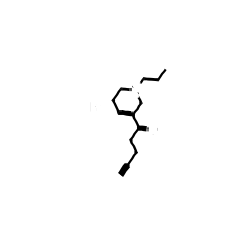 Br.C#CCCC(=O)C1=CCCN(CCC)C1